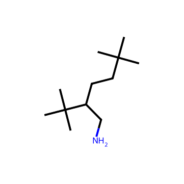 CC(C)(C)CCC(CN)C(C)(C)C